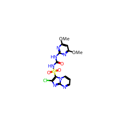 COc1cc(OC)nc(NC(=O)NS(=O)(=O)c2c(Cl)nc3ncccn23)n1